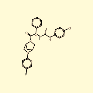 O=C(Nc1ccc(Cl)cc1)N[C@@H](C(=O)N1CC2CC1CN2c1ccc(F)cc1)c1ccccc1